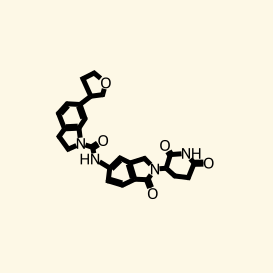 O=C1CCC(N2Cc3cc(NC(=O)N4CCc5ccc(C6CCOC6)cc54)ccc3C2=O)C(=O)N1